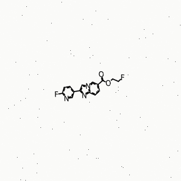 O=C(OCCF)c1ccc2nc(-c3ccc(F)nc3)cn2c1